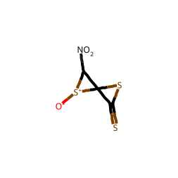 O=[N+]([O-])C1[S+]([O-])C12SC2=S